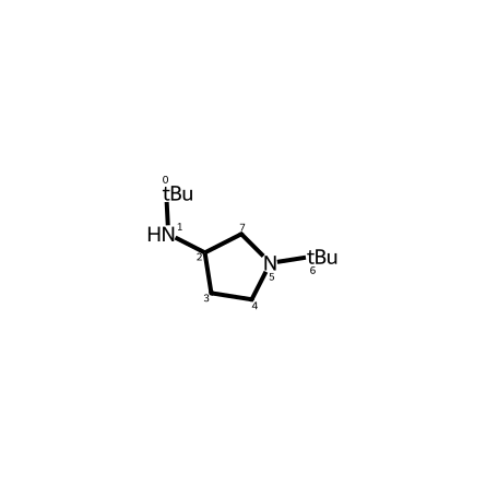 CC(C)(C)NC1CCN(C(C)(C)C)C1